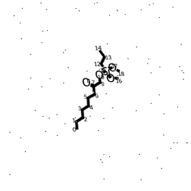 CCCCCCCC(=O)CO[Si](CCC)(OC)OC